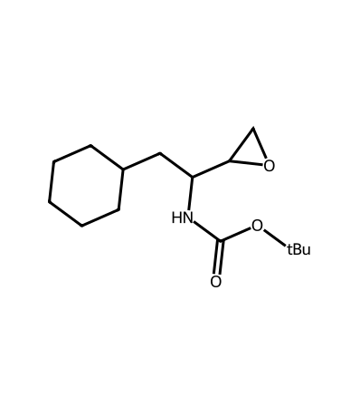 CC(C)(C)OC(=O)NC(CC1CCCCC1)C1CO1